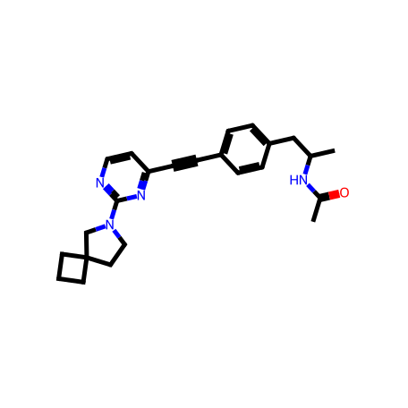 CC(=O)NC(C)Cc1ccc(C#Cc2ccnc(N3CCC4(CCC4)C3)n2)cc1